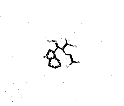 C/N=C(/C(S/C=C(\C)C(C)=O)=C(C)C)c1c[nH]c2ccccc12